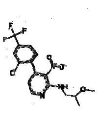 COC(C)CNc1nccc(-c2ccc(C(F)(F)F)cc2Cl)c1[N+](=O)[O-]